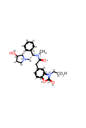 CN(C(=O)Cc1ccc2oc(=O)n(CC(=O)O)c2c1)[C@H](CN1CCC(O)C1)c1ccccc1